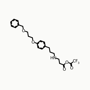 O=C(CCNCCCc1ccc(OCCCOCc2ccccc2)cc1)OC(=O)C(F)(F)F